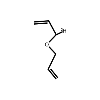 [2H]C(C=C)OCC=C